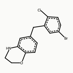 Clc1ccc(Br)cc1Cc1ccc2c(c1)NCCO2